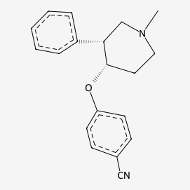 CN1CC[C@H](Oc2ccc(C#N)cc2)[C@H](c2ccccc2)C1